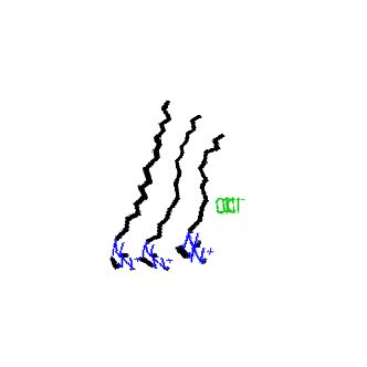 CCCCCCCCCCCCCCCCCCn1cc[n+](C)c1.CCCCCCCCCCCCCCCCn1cc[n+](C)c1.CCCCCCCCCCCCn1cc[n+](C)c1.[Cl-].[Cl-].[Cl-]